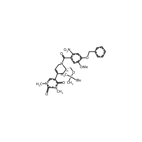 COc1cc(C(=O)N2CC=C(c3cn(C)c(=O)n(C)c3=O)C[C@H]2CO[Si](C)(C)C(C)(C)C)c([N+](=O)[O-])cc1OCc1ccccc1